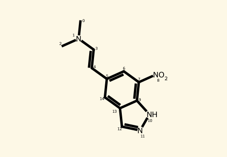 CN(C)C=Cc1cc([N+](=O)[O-])c2[nH]ncc2c1